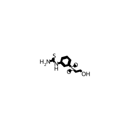 NC(=S)Nc1cccc(S(=O)(=O)CCO)c1